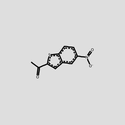 CC(=O)c1cc2cc([N+](=O)[O-])ccc2s1